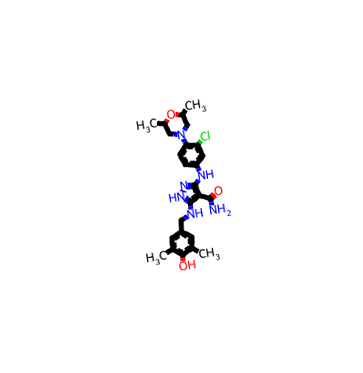 Cc1cc(CNc2[nH]nc(Nc3ccc(N4CC(C)OC(C)C4)c(Cl)c3)c2C(N)=O)cc(C)c1O